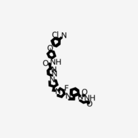 N#Cc1ccc(O[C@H]2CC[C@H](NC(=O)c3ccc(N4CCC(CN5CC[C@@H](n6ccc7c(N8CCC(=O)NC8=O)cccc76)[C@@H](F)C5)CC4)nn3)CC2)cc1Cl